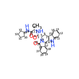 C[C@H](NC(=O)[C@@H]1Cc2c([nH]c3ccccc23)C2c3ccccc3C(=O)N21)C(=O)NC1CCCC1